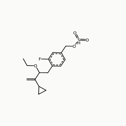 C=C(C1CC1)C(Cc1ccc(CO[SH](=O)=O)cc1F)OCC